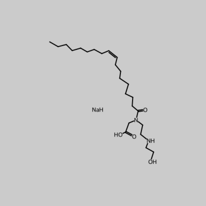 CCCCCCCC/C=C\CCCCCCCC(=O)N(CCNCCO)CC(=O)O.[NaH]